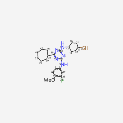 COc1ccc(Nc2nc(NC3CCC(S)CC3)nc(C3CCCCCC3)n2)cc1F